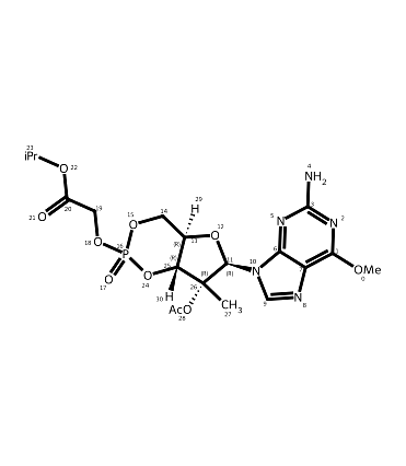 COc1nc(N)nc2c1ncn2[C@@H]1O[C@@H]2COP(=O)(OCC(=O)OC(C)C)O[C@H]2[C@@]1(C)OC(C)=O